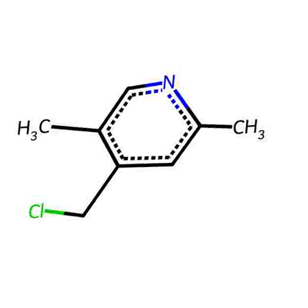 Cc1cc(CCl)c(C)cn1